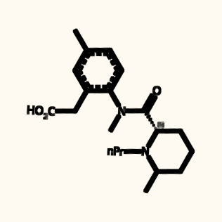 CCCN1C(C)CCC[C@H]1C(=O)N(C)c1ccc(C)cc1CC(=O)O